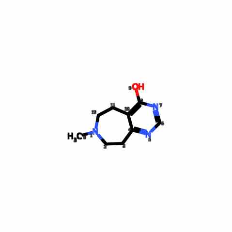 CN1CCc2ncnc(O)c2CC1